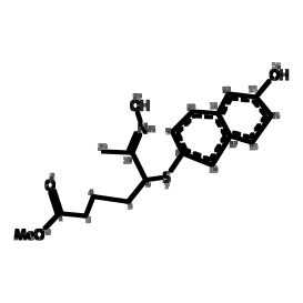 COC(=O)CCCC(Sc1ccc2cc(O)ccc2c1)C(C)=NO